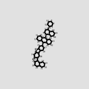 c1ccc(-c2ccc(-c3c4ccccc4c(-c4ccc5c(c4)sc4cc6sc7ccc8ccccc8c7c6cc45)c4ccccc34)c3ccccc23)cc1